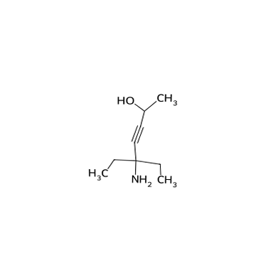 CCC(N)(C#CC(C)O)CC